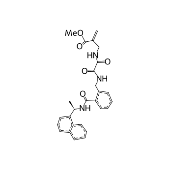 C=C(CNC(=O)C(=O)NCc1ccccc1C(=O)N[C@H](C)c1cccc2ccccc12)C(=O)OC